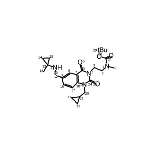 CN(CCn1c(=O)c2cc(SNC3(C)CC3)ccc2n(CC2CC2)c1=O)C(=O)OC(C)(C)C